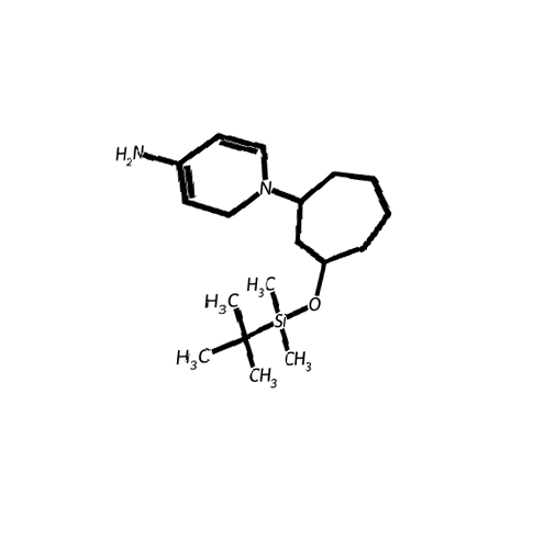 CC(C)(C)[Si](C)(C)OC1CCCCC(N2C=CC(N)=CC2)C1